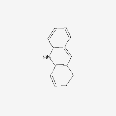 C1=CC2=CC3=C(C=CCC3)NC2C=C1